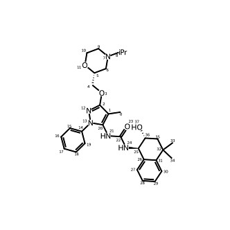 Cc1c(OC[C@H]2CN(C(C)C)CCO2)nn(-c2ccccc2)c1NC(=O)N[C@@H]1c2ccccc2C(C)(C)C[C@H]1O